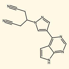 N#CCC(CC#N)n1cc(-c2ncnc3[nH]ccc23)cn1